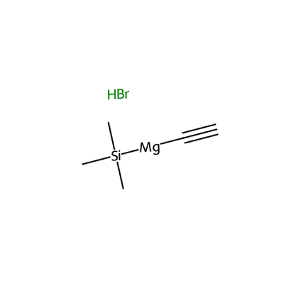 Br.C#[C][Mg][Si](C)(C)C